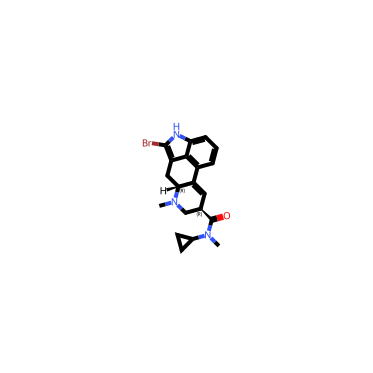 CN(C(=O)[C@@H]1C=C2c3cccc4[nH]c(Br)c(c34)C[C@H]2N(C)C1)C1CC1